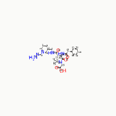 NN=CN1CCC[C@@H](CNC(=O)C[C@H](NC(=O)Cc2ccccc2)C(=O)N(CC(=O)O)C2CC2)C1